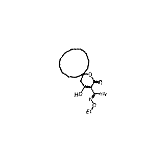 CCC/C(=N\OCC)C1=C(O)CC2(CCCCCCCCCCC2)OC1=O